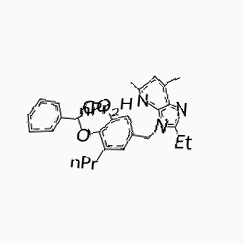 CCCc1cc(Cn2c(CC)nc3c(C)cc(C)nc32)cc(CCC)c1OC(C(=O)O)c1ccccc1